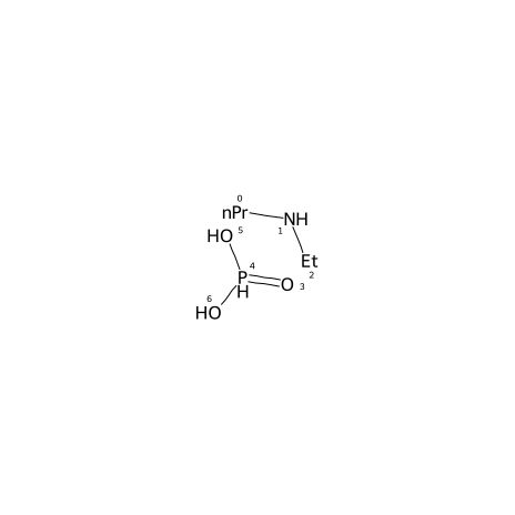 CCCNCC.O=[PH](O)O